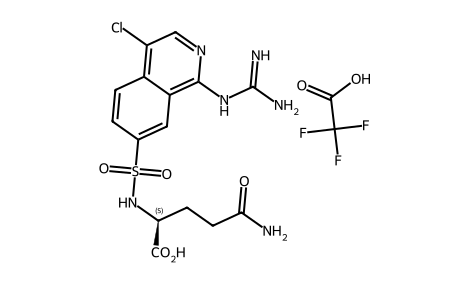 N=C(N)Nc1ncc(Cl)c2ccc(S(=O)(=O)N[C@@H](CCC(N)=O)C(=O)O)cc12.O=C(O)C(F)(F)F